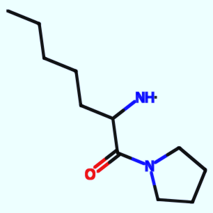 CCCCCC([NH])C(=O)N1CCCC1